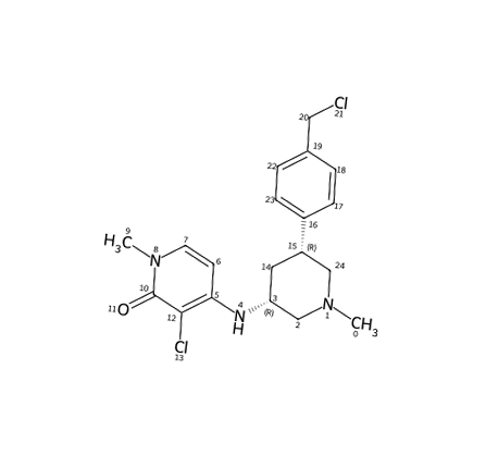 CN1C[C@H](Nc2ccn(C)c(=O)c2Cl)C[C@H](c2ccc(CCl)cc2)C1